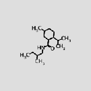 CCC(C)CNC(=O)C1CC(C)CCC1C(C)C